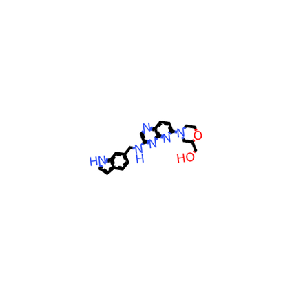 OCC1CN(c2ccc3ncc(NCc4ccc5cc[nH]c5c4)nc3n2)CCO1